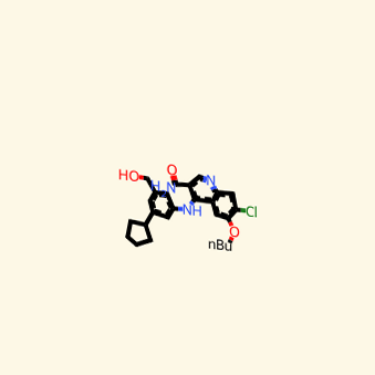 CCCCOc1cc2c(Nc3cc(CO)cc(C4CCCC4)c3)c(C(N)=O)cnc2cc1Cl